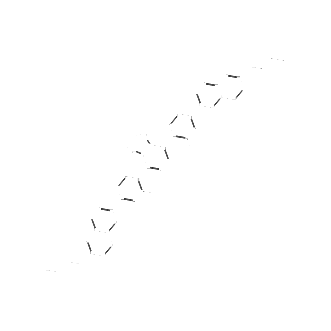 CCCCOc1ccc2cc(-c3ccc(-c4ccc(-c5ccc(-c6ccc7cc(OCCCC)ccc7c6)cc5F)c5nsnc45)c(F)c3)ccc2c1